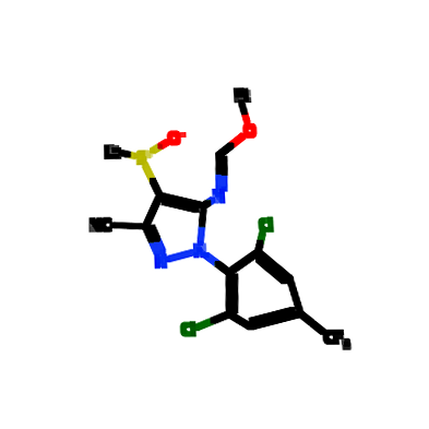 CCOC=Nc1c([S+]([O-])CC)c(C#N)nn1-c1c(Cl)cc(C(F)(F)F)cc1Cl